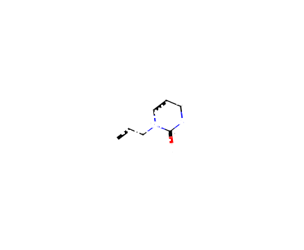 C=CCN1C=CCNC1=O